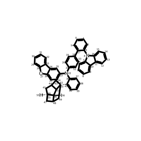 c1ccc(-n2c3ccccc3c3ccccc32)c(-c2ccc(N(c3ccc4oc5ccccc5c4c3)c3ccccc3[C@]34CC5C[C@@H]6CC(C3)[C@H]6C54)cc2)c1